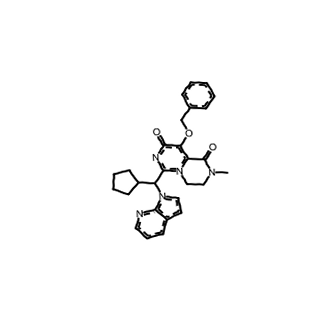 CN1CCn2c(C(C3CCCC3)n3ccc4cccnc43)nc(=O)c(OCc3ccccc3)c2C1=O